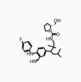 CC(C)CC(c1ccc(Nc2ccc(F)cc2)c(C=N)c1)C(C)(C)CNC(=O)N1CCC[C@@H]1CO